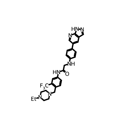 CCN1CCN(Cc2ccc(NC(=O)CNc3ccc(-c4cnc5[nH]ncc5c4)cc3)cc2C(F)(F)F)CC1